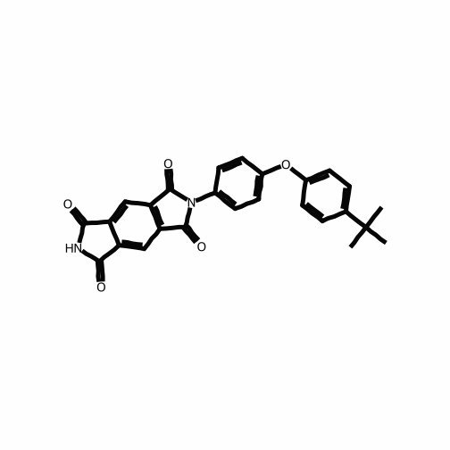 CC(C)(C)c1ccc(Oc2ccc(-n3c(=O)c4cc5c(=O)[nH]c(=O)c5cc4c3=O)cc2)cc1